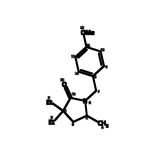 CCC1(CC)CC(C)N(Cc2ccc(OC)cc2)C1=O